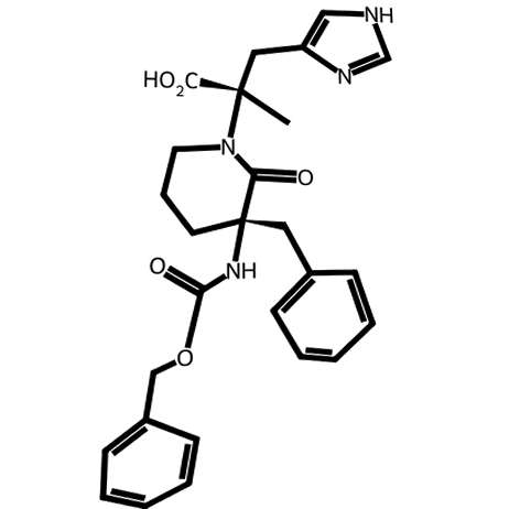 C[C@](Cc1c[nH]cn1)(C(=O)O)N1CCC[C@@](Cc2ccccc2)(NC(=O)OCc2ccccc2)C1=O